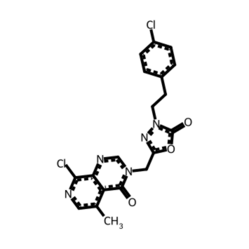 Cc1cnc(Cl)c2ncn(Cc3nn(CCc4ccc(Cl)cc4)c(=O)o3)c(=O)c12